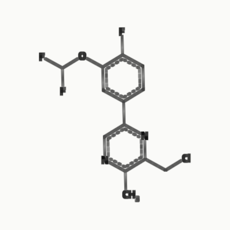 Cc1ncc(-c2ccc(F)c(OC(F)F)c2)nc1CCl